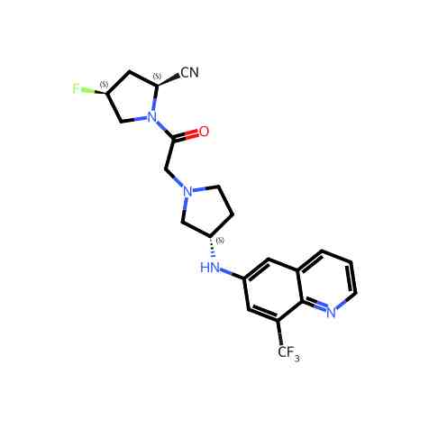 N#C[C@@H]1C[C@H](F)CN1C(=O)CN1CC[C@H](Nc2cc(C(F)(F)F)c3ncccc3c2)C1